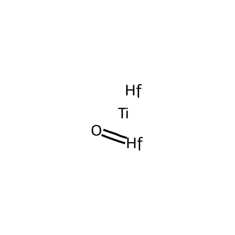 [Hf].[O]=[Hf].[Ti]